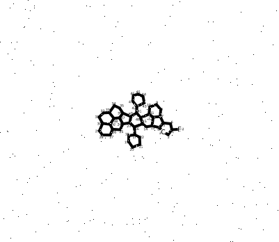 FC1CCC2C(C1)C1CCCC3C1C2CC1C(C2CCCCC2)C2C4CC5CCCC6CCC7CCC(C4C7C65)C2C(C2CCCCC2)C31